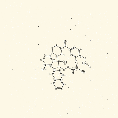 CNCc1ccc(C(=O)N2CCCC(C(O)(CCCNC(=O)O)c3cccc(Cl)c3-c3cnc4ccccc4c3)C2)cc1